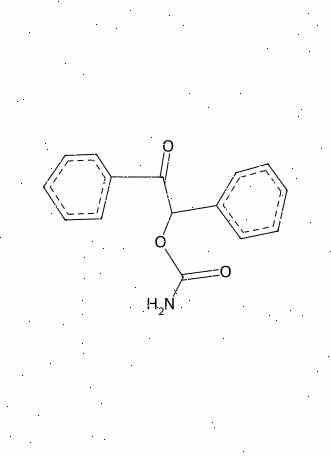 NC(=O)OC(C(=O)c1ccccc1)c1ccccc1